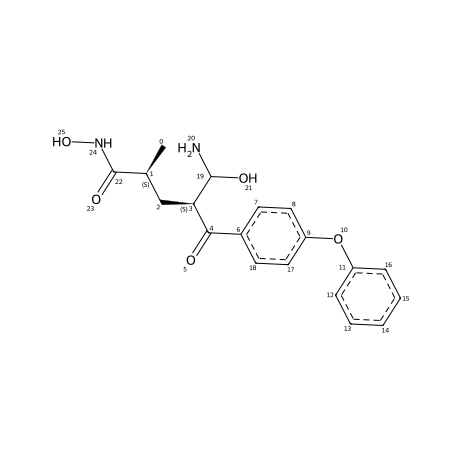 C[C@@H](C[C@H](C(=O)c1ccc(Oc2ccccc2)cc1)C(N)O)C(=O)NO